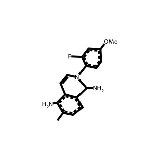 COc1ccc(N2C=Cc3c(ccc(C)c3N)C2N)c(F)c1